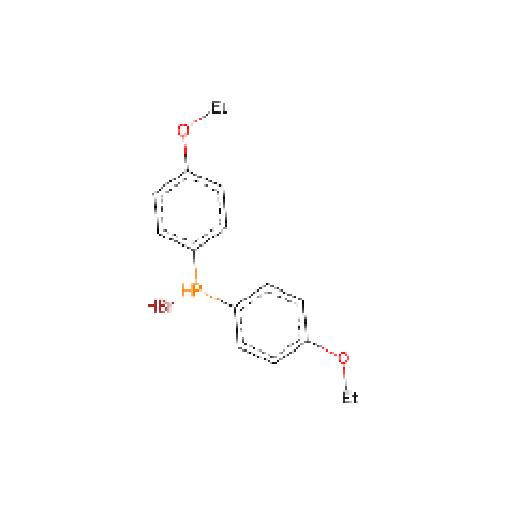 Br.CCOc1ccc(Pc2ccc(OCC)cc2)cc1